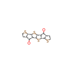 O=c1c2ccsc2c2sc3c(sc4c5sccc5c(=O)c43)c12